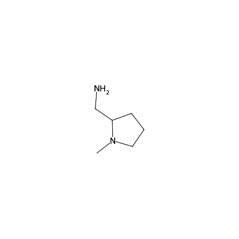 CN1CCCC1CN